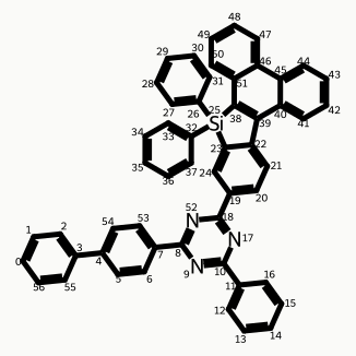 c1ccc(-c2ccc(-c3nc(-c4ccccc4)nc(-c4ccc5c(c4)[Si](c4ccccc4)(c4ccccc4)c4c-5c5ccccc5c5ccccc45)n3)cc2)cc1